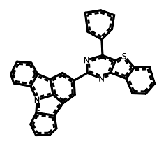 c1ccc(-c2nc(-c3cc4c5ccccc5n5c6ccccc6c(c3)c45)nc3c2sc2ccccc23)cc1